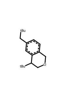 CC(C)(C)Cc1ccc2c(c1)C(C(C)(C)C)COC2